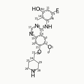 COc1cc2c(Nc3cc(F)cc(O)c3C)ncnc2cc1OCC1CCNCC1